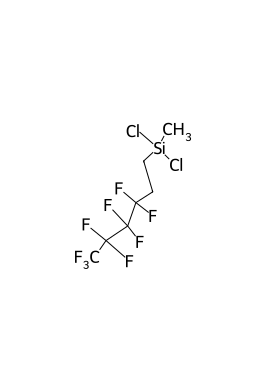 C[Si](Cl)(Cl)CCC(F)(F)C(F)(F)C(F)(F)C(F)(F)F